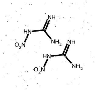 N=C(N)N[N+](=O)[O-].N=C(N)N[N+](=O)[O-]